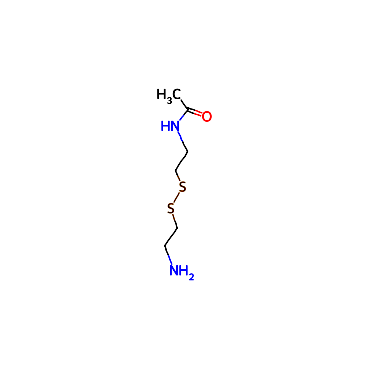 CC(=O)NCCSSCCN